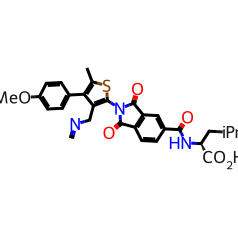 C=NCc1c(N2C(=O)c3ccc(C(=O)N[C@@H](CC(C)C)C(=O)O)cc3C2=O)sc(C)c1-c1ccc(OC)cc1